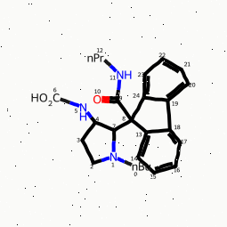 CCCCN1CCC(NC(=O)O)C1C1(C(=O)NCCC)c2ccccc2-c2ccccc21